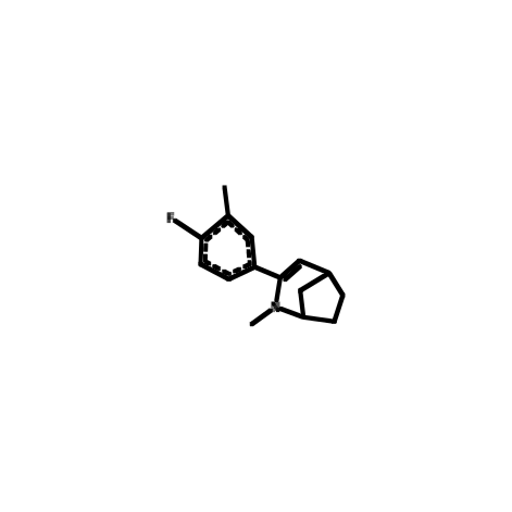 Cc1cc(C2=CC3CCC(C3)N2C)ccc1F